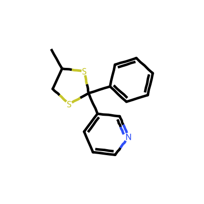 CC1CSC(c2ccccc2)(c2cccnc2)S1